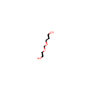 OCCCOCOCCO